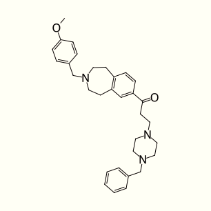 COc1ccc(CN2CCc3ccc(C(=O)CCN4CCN(Cc5ccccc5)CC4)cc3CC2)cc1